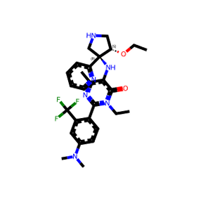 CCO[C@H]1CNC[C@@]1(Nc1c(C)nc(-c2ccc(N(C)C)cc2C(F)(F)F)n(CC)c1=O)c1ccccn1